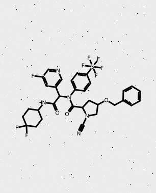 N#CN1CC(OCc2ccccc2)CC1C(=O)N(c1ccc(S(F)(F)(F)(F)F)cc1)C(C(=O)NC1CCC(F)(F)CC1)c1cncc(F)c1